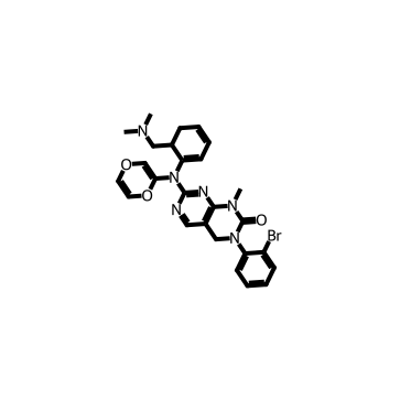 CN(C)CC1CC=CC=C1N(C1=COC=CO1)c1ncc2c(n1)N(C)C(=O)N(c1ccccc1Br)C2